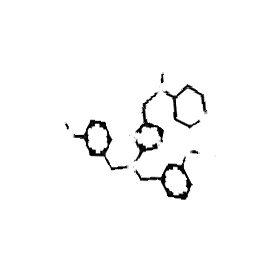 COc1cccc(CN(Cc2cccc(OC)c2)c2nc(CN(C)C3CCOCC3)cs2)c1